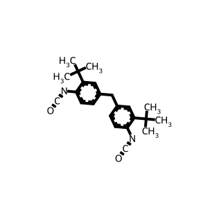 CC(C)(C)c1cc(Cc2ccc(N=C=O)c(C(C)(C)C)c2)ccc1N=C=O